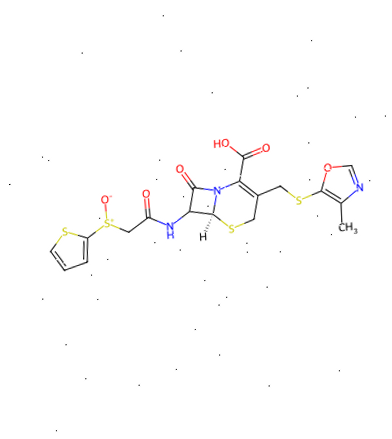 Cc1ncoc1SCC1=C(C(=O)O)N2C(=O)C(NC(=O)C[S+]([O-])c3cccs3)[C@@H]2SC1